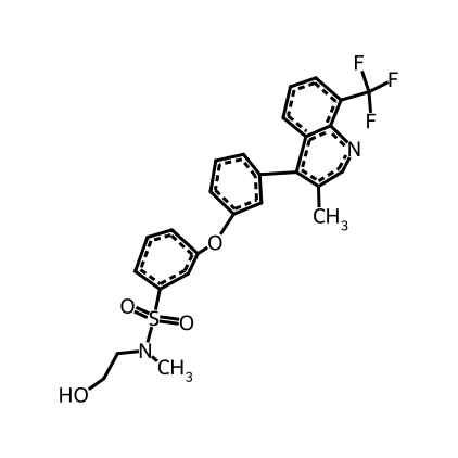 Cc1cnc2c(C(F)(F)F)cccc2c1-c1cccc(Oc2cccc(S(=O)(=O)N(C)CCO)c2)c1